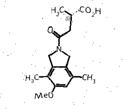 COc1cc(C)c2c(c1C)CN(C(=O)C[C@H](C)C(=O)O)C2